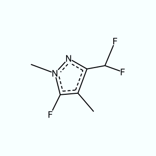 Cc1c(C(F)F)nn(C)c1F